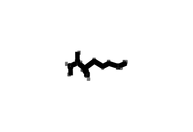 CON(C)C(=O)CCCSC